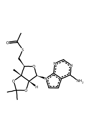 CC(=O)SC[C@H]1O[C@@H](n2ccc3c(N)ncnc32)[C@@H]2OC(C)(C)O[C@]12C